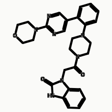 O=C(Cn1c(=O)[nH]c2ccccc21)N1CCN(c2ccccc2-c2cnc(N3CCOCC3)nc2)CC1